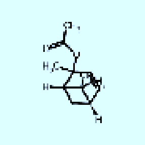 CC(=O)OC1(C)C=C[C@@H]2C[C@H]1C2(C)C